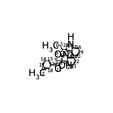 CCCC1(N2C(=O)C(O)(CC(=O)c3cccc(C)c3)c3ccccc32)CNc2ccccc21